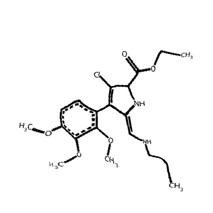 CCCNC=C1NC(C(=O)OCC)C(Cl)=C1c1ccc(OC)c(OC)c1OC